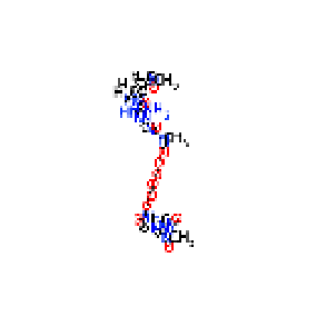 Cc1c(CC(=O)N(C)C)ccc(NC(=O)c2n[nH]c3nc([C@@H]4CCCN(C(=O)/C=C/CN(C)CCOCCOCCOCCOCCOCCOCCNC(=O)c5cccc(-c6ccc7c(N8CCOC[C@H]8C)nc(N8CCOC[C@H]8C)nc7n6)c5)C4)nc(N)c23)c1C